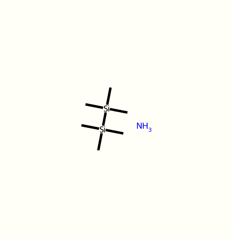 C[Si](C)(C)[Si](C)(C)C.N